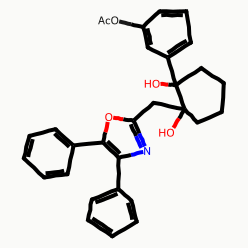 CC(=O)Oc1cccc(C2(O)CCCCC2(O)Cc2nc(-c3ccccc3)c(-c3ccccc3)o2)c1